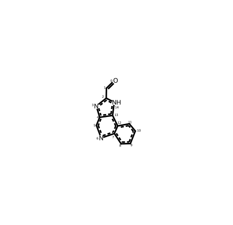 O=Cc1nc2cnc3ccccc3c2[nH]1